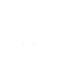 Cc1cc(S(=O)(=O)N2CCn3cccc3C2CC(=O)O)c(C)cc1Cl